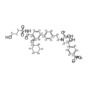 O=C(NS(=O)(=O)CCCO)c1ccc(-c2ccc(CCN(C[C@@H](O)c3ccc([N+](=O)[O-])cc3)C(=O)O)cc2)cc1OC1CCCCC1